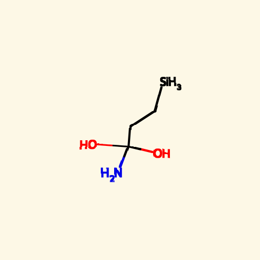 NC(O)(O)CC[SiH3]